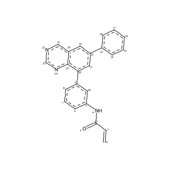 C=CC(=O)Nc1cccc(-c2cc(-c3ccccc3)cc3cncnc23)c1